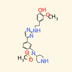 COc1cc(CCNc2nccc(-c3cccc(CN(C4CCNCC4)S(C)(=O)=O)c3)n2)ccc1O